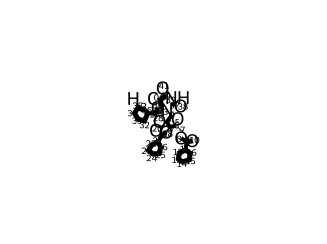 Cc1cn([C@@H]2O[C@H](COC(=O)c3ccccc3)[C@@H](OC(=O)c3ccccc3)[C@H]2OC(=O)c2ccccc2)c(=O)[nH]c1=O